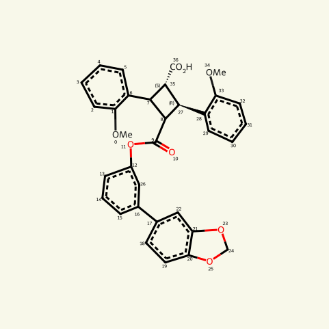 COc1ccccc1C1C(C(=O)Oc2cccc(-c3ccc4c(c3)OCO4)c2)[C@H](c2ccccc2OC)[C@H]1C(=O)O